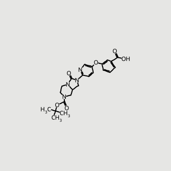 CC(C)(C)OC(=O)N1CCN2C(=O)N(c3ccc(Oc4cccc(C(=O)O)c4)cn3)CC2C1